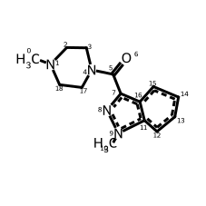 CN1CCN(C(=O)c2nn(C)c3ccccc23)CC1